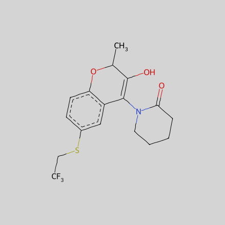 CC1Oc2ccc(SCC(F)(F)F)cc2C(N2CCCCC2=O)=C1O